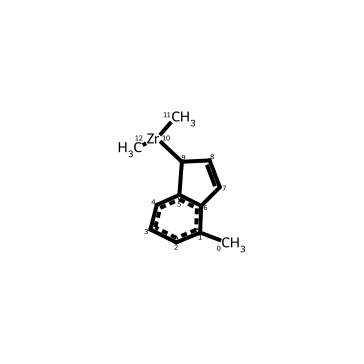 Cc1cccc2c1C=C[CH]2[Zr]([CH3])[CH3]